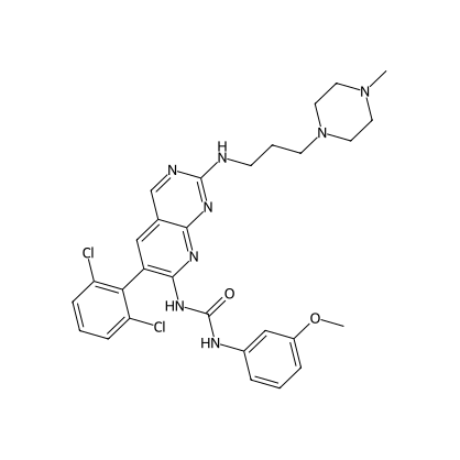 COc1cccc(NC(=O)Nc2nc3nc(NCCCN4CCN(C)CC4)ncc3cc2-c2c(Cl)cccc2Cl)c1